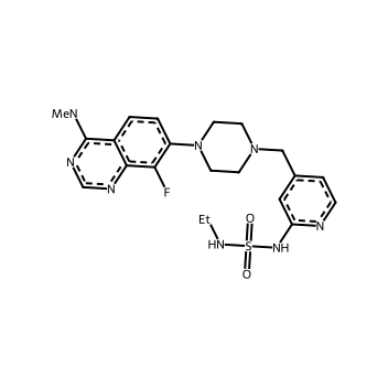 CCNS(=O)(=O)Nc1cc(CN2CCN(c3ccc4c(NC)ncnc4c3F)CC2)ccn1